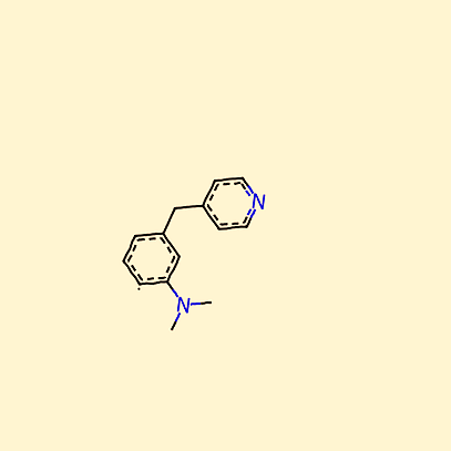 CN(C)c1[c]ccc(Cc2ccncc2)c1